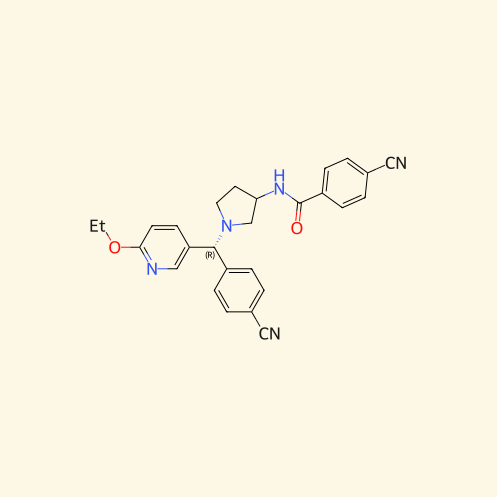 CCOc1ccc([C@@H](c2ccc(C#N)cc2)N2CCC(NC(=O)c3ccc(C#N)cc3)C2)cn1